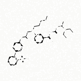 CCCCCN(CC(=O)Nc1ccc(-c2ccccc2S(N)(=O)=O)cc1)c1cccc(C(=N)NC(=O)OC(C)N(CC)CC)c1